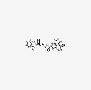 COc1ccccc1CCNCCCCC(=O)c1cc2c3c(c1)CCC(=O)N3CCC2